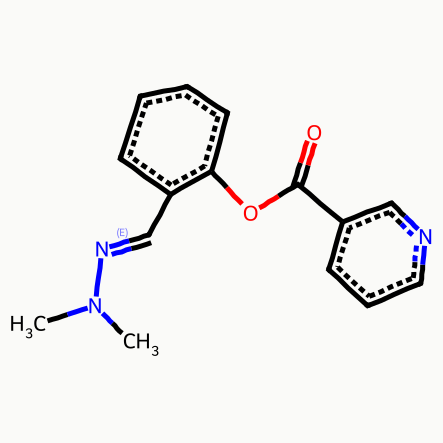 CN(C)/N=C/c1ccccc1OC(=O)c1cccnc1